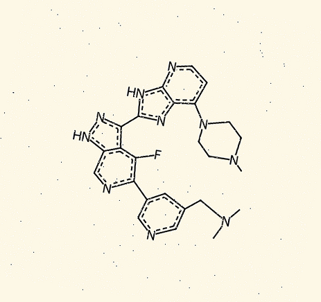 CN(C)Cc1cncc(-c2ncc3[nH]nc(-c4nc5c(N6CCN(C)CC6)ccnc5[nH]4)c3c2F)c1